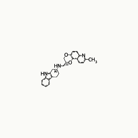 Cc1ccc2c3c(ccc2n1)OC[C@H](CN[C@@H]1CCc2c([nH]c4ccccc24)C1)O3